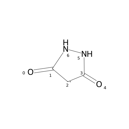 O=C1[CH]C(=O)NN1